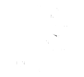 CN1C(=O)CC[C@@](F)(N2Cc3c(csc3N)C2=O)C1=O